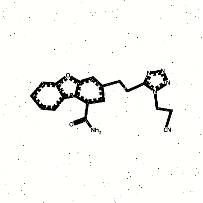 N#CCCn1nnnc1[CH]Cc1cc(C(N)=O)c2c(c1)oc1ccccc12